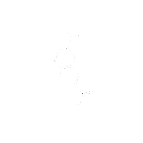 Cc1ncc([N+](=O)[O-])cc1C=CC(=O)O